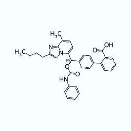 CCCCc1cn2c([C@H](OC(=O)Nc3ccccc3)c3ccc(-c4ccccc4C(=O)O)cc3)ccc(C)c2n1